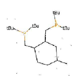 CC1CCC(CP(C(C)(C)C)C(C)(C)C)C(CP(C(C)(C)C)C(C)(C)C)C1